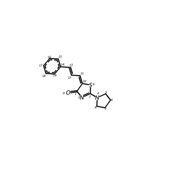 O=C1N=C(N2CCCC2)SC1=CC=Cc1ccccc1